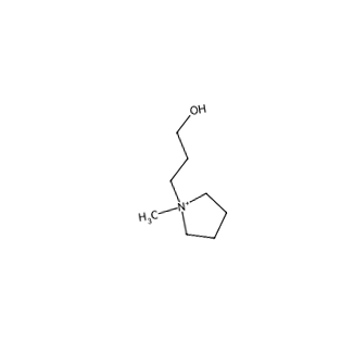 C[N+]1(CCCO)CCCC1